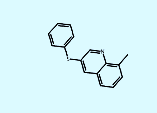 Cc1cccc2cc(Sc3ccccc3)cnc12